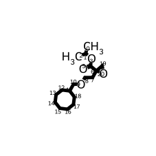 CC(C)OC(=O)C1(CCOCC2CCCCCCC2)CO1